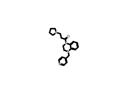 O=C(CCN1CCCC1)N1CCN(Cc2ccncc2)c2ccccc21